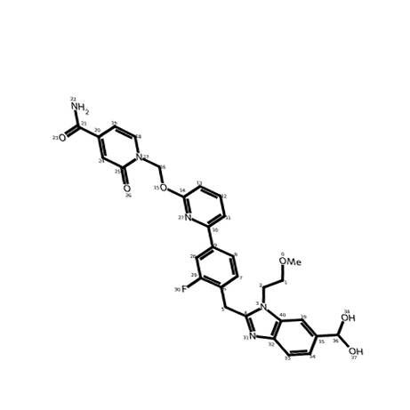 COCCn1c(Cc2ccc(-c3cccc(OCn4ccc(C(N)=O)cc4=O)n3)cc2F)nc2ccc(C(O)O)cc21